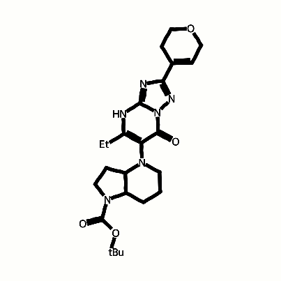 CCc1[nH]c2nc(C3=CCOCC3)nn2c(=O)c1N1CCCC2C1CCN2C(=O)OC(C)(C)C